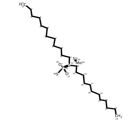 CCCCCCCCCCCCS(CCCCCCCCCCCC)=P([O-])([O-])[S-].[S]=[Mo+3]